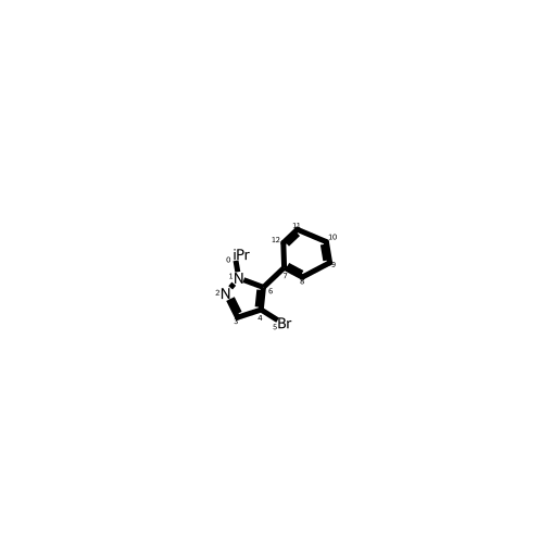 CC(C)n1ncc(Br)c1-c1ccccc1